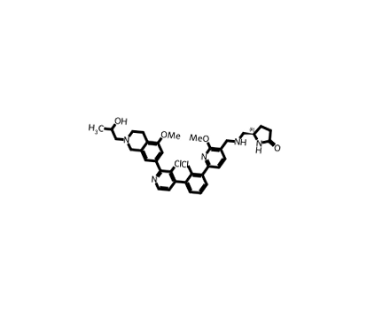 COc1cc(-c2nccc(-c3cccc(-c4ccc(CNC[C@H]5CCC(=O)N5)c(OC)n4)c3Cl)c2Cl)cc2c1CCN(CC(C)O)C2